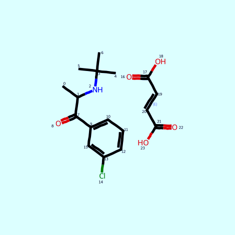 CC(NC(C)(C)C)C(=O)c1cccc(Cl)c1.O=C(O)/C=C/C(=O)O